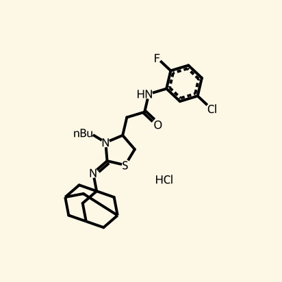 CCCCN1/C(=N/C23CC4CC(CC(C4)C2)C3)SCC1CC(=O)Nc1cc(Cl)ccc1F.Cl